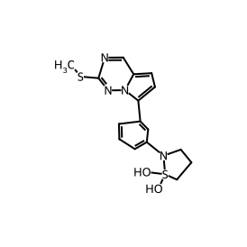 CSc1ncc2ccc(-c3cccc(N4CCCS4(O)O)c3)n2n1